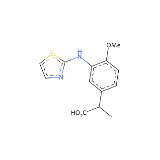 COc1ccc(C(C)C(=O)O)cc1Nc1nccs1